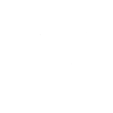 Cc1ccc(OCc2ccccc2-c2sc3c(c2C(=O)O)CCCC3=O)cc1